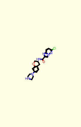 O=C(N[C@H]1COc2cc(N3CCNCC3)ccc2C1)c1cn2nc(Cl)ccc2n1